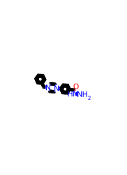 NNC(=O)c1ccc(N2CCN(Cc3ccccc3)CC2)cc1